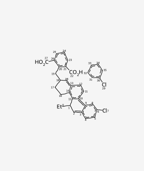 CCC1C=c2ccc(Cl)cc2=c2ccc3c(c21)CCC(Cc1c(C(=O)O)cccc1C(=O)O)C=3.Clc1ccccc1